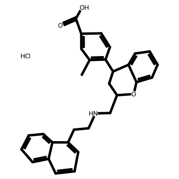 Cc1cc(C(=O)O)ccc1C1CC(CNCCc2cccc3ccccc23)Oc2ccccc21.Cl